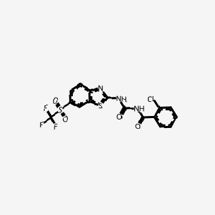 O=C(NC(=O)c1ccccc1Cl)Nc1nc2ccc(S(=O)(=O)C(F)(F)F)cc2s1